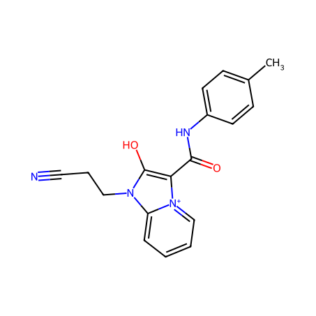 Cc1ccc(NC(=O)c2c(O)n(CCC#N)c3cccc[n+]23)cc1